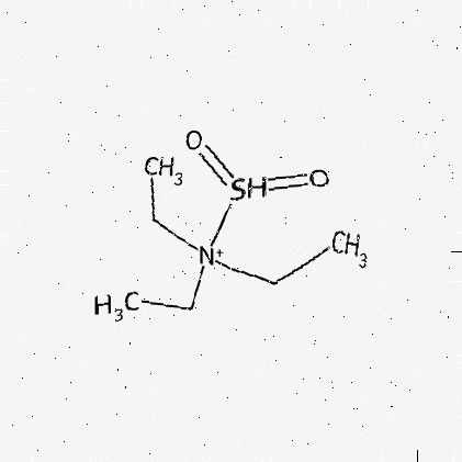 CC[N+](CC)(CC)[SH](=O)=O